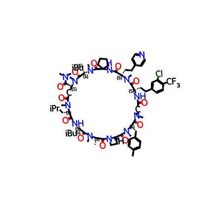 CC[C@H](C)[C@@H]1NC(=O)[C@H](CC(C)C)N(C)C(=O)C[C@@H](C(=O)N(C)C)N(C)C(=O)[C@H]([C@@H](C)CC)N(C)C(=O)C2(CCCC2)NC(=O)[C@H](CCc2ccncc2)N(C)C(=O)[C@H](CCc2ccc(C(F)(F)F)c(Cl)c2)NC(=O)CN(C)C(=O)[C@H](Cc2ccc(C)cc2)N(C)C(=O)[C@@H]2CCN2C(=O)[C@H](C)N(C)C1=O